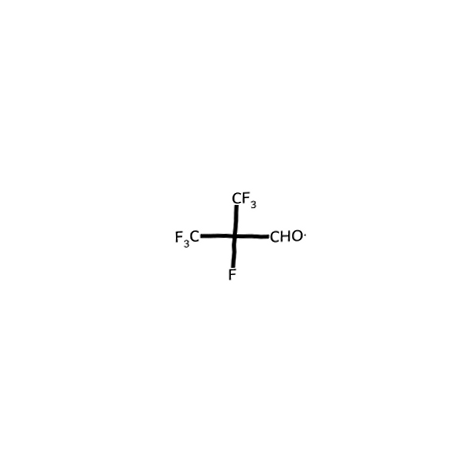 O=[C]C(F)(C(F)(F)F)C(F)(F)F